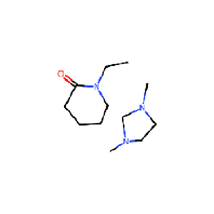 CCN1CCCCC1=O.CN1CCN(C)C1